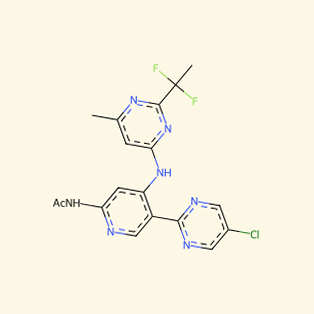 CC(=O)Nc1cc(Nc2cc(C)nc(C(C)(F)F)n2)c(-c2ncc(Cl)cn2)cn1